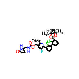 COc1nc(-c2cccc(-c3cccc(B4OC(C)(C)C(C)(C)O4)c3Cl)c2Cl)c(F)cc1COC(=O)NCC1CCC(=O)N1